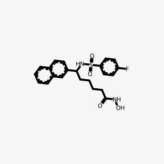 O=C(CCCCC(NS(=O)(=O)c1ccc(F)cc1)c1ccc2ccccc2c1)NO